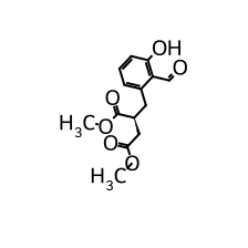 COC(=O)C[C@H](Cc1cccc(O)c1C=O)C(=O)OC